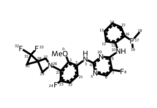 COc1c(Nc2ncc(F)c(Nc3ccccc3P(C)C)n2)ccc(F)c1N1CC2(C1)CC2(F)F